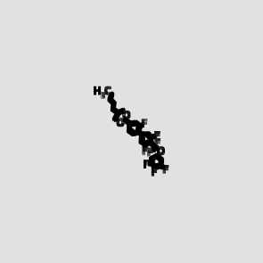 CCCCCC1COC(c2ccc(-c3cc(F)c(C(F)(F)OC4C=C(F)C(F)=C(F)C4)c(F)c3)c(F)c2)OC1